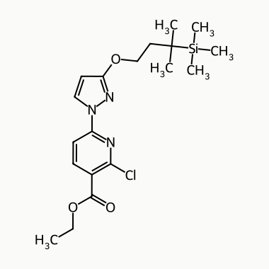 CCOC(=O)c1ccc(-n2ccc(OCCC(C)(C)[Si](C)(C)C)n2)nc1Cl